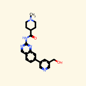 CN1CCC(C(=O)Nc2ncc3ccc(-c4cncc(CO)c4)cc3n2)CC1